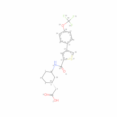 O=C(O)C[C@@H]1CCCC(NC(=O)c2cc(-c3ccc(OC(F)(F)F)cc3)cs2)C1